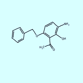 CC(=O)c1c(OCc2ccccc2)ccc(N)c1O